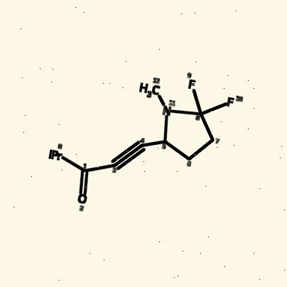 CC(C)C(=O)C#CC1CCC(F)(F)N1C